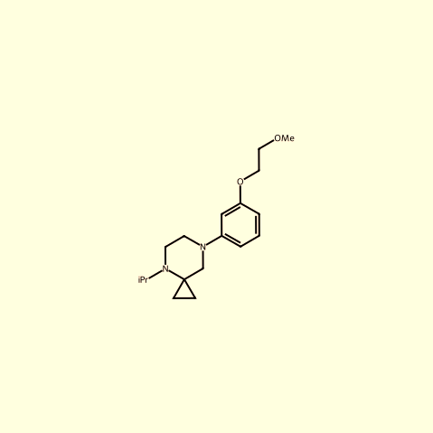 COCCOc1cccc(N2CCN(C(C)C)C3(CC3)C2)c1